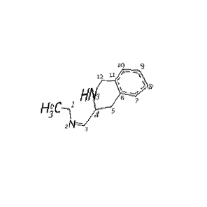 CC/N=C\C1Cc2ccccc2CN1